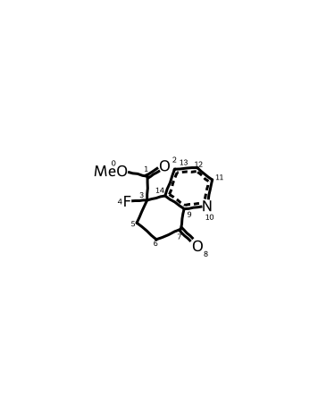 COC(=O)C1(F)CCC(=O)c2ncccc21